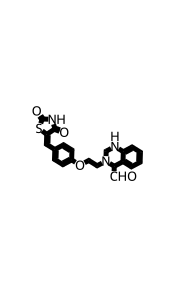 O=CC1c2ccccc2NCN1CCOc1ccc(C=C2SC(=O)NC2=O)cc1